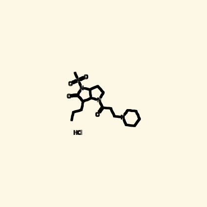 CCCC1C(=O)N(S(C)(=O)=O)C2CCN(C(=O)CCN3CCCCC3)C12.Cl